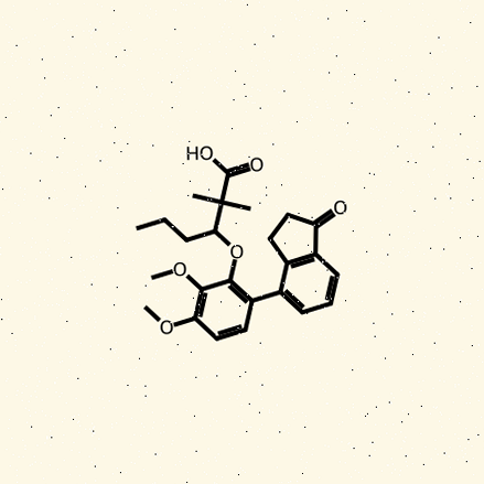 CCCC(Oc1c(-c2cccc3c2CCC3=O)ccc(OC)c1OC)C(C)(C)C(=O)O